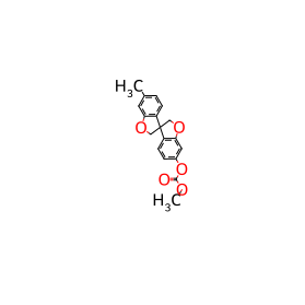 COC(=O)Oc1ccc2c(c1)OCC21COc2cc(C)ccc21